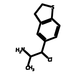 CC(N)C(Cl)c1ccc2c(c1)CCS2